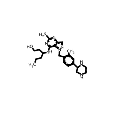 CCCC(CCO)Nc1nc(N)nc2cnn(Cc3ccc(C4CNCCN4)cc3C)c12